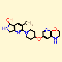 Cc1cc2c(nc1N1CCC(Oc3cnc4c(c3)NCCO4)CC1)CNC2O